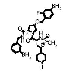 Bc1cccc(CNC(=O)[C@@H]2C[C@@H](OCc3ccc(B)cc3F)CN2C(=O)[C@@H](CCC2CCNCC2)NS(C)(=O)=O)c1